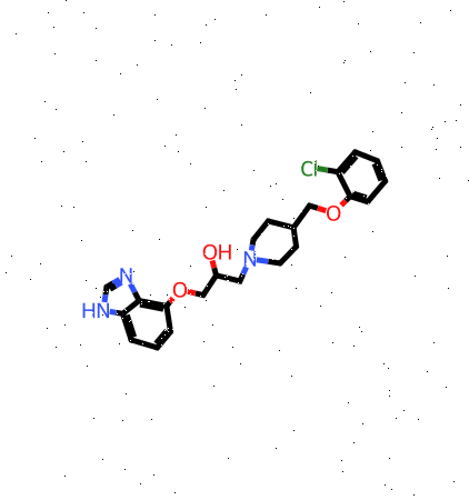 OC(COc1cccc2[nH]cnc12)CN1CCC(COc2ccccc2Cl)CC1